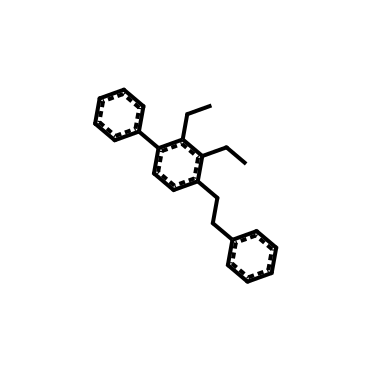 CCc1c(CCc2ccccc2)ccc(-c2ccccc2)c1CC